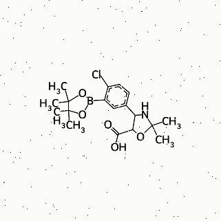 CC1(C)NC(c2ccc(Cl)c(B3OC(C)(C)C(C)(C)O3)c2)C(C(=O)O)O1